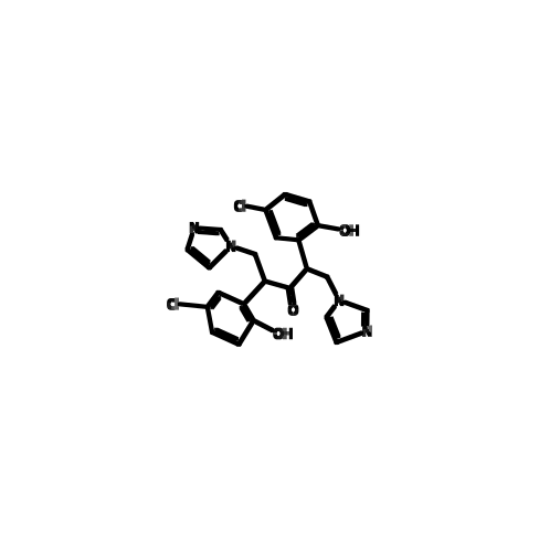 O=C(C(Cn1ccnc1)c1cc(Cl)ccc1O)C(Cn1ccnc1)c1cc(Cl)ccc1O